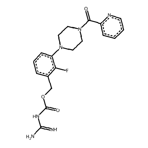 N=C(N)NC(=O)OCc1cccc(N2CCN(C(=O)c3ccccn3)CC2)c1F